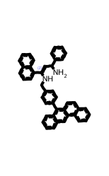 NC(/C=C(\NCc1ccc(-c2c3ccccc3cc3c2ccc2ccccc23)cc1)c1cccc2ccccc12)c1ccccc1